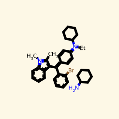 CC[N+](=C1C=CC(=C(c2ccccc2Br)c2c(C)n(C)c3ccccc23)C=C1)C1CCCCC1.NC1CCCCC1